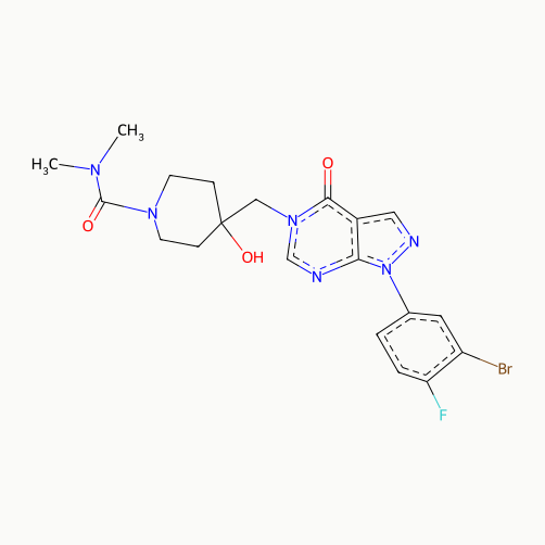 CN(C)C(=O)N1CCC(O)(Cn2cnc3c(cnn3-c3ccc(F)c(Br)c3)c2=O)CC1